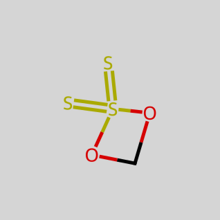 S=S1(=S)OCO1